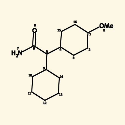 COC1CCC(C(C(N)=O)C2CCCCC2)CC1